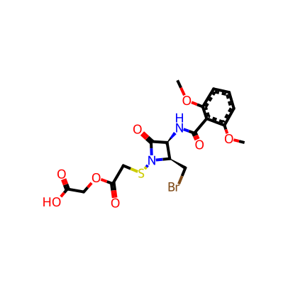 COc1cccc(OC)c1C(=O)N[C@@H]1C(=O)N(SCC(=O)OCC(=O)O)[C@@H]1CBr